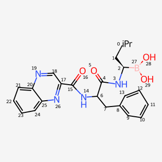 CC(C)C[C@H](NC(=O)C(Cc1ccccc1)NC(=O)c1cnc2ccccc2n1)B(O)O